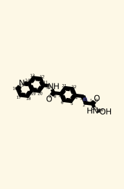 O=C(/C=C/c1ccc(C(=O)Nc2ccc3ncccc3c2)cc1)NO